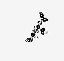 CC1(C)CCC(CN2CCN(c3ccc(C(=O)NS(=O)(=O)c4ccc(NCC5(F)CCOCC5)c([N+](=O)[O-])c4)c(Oc4cccc5[nH]ncc45)c3)CC2)=C(c2ccc(Cl)cc2)C1